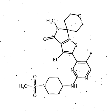 CCc1c(-c2nc(NC3CCN(S(C)(=O)=O)CC3)ncc2F)sc2c1C(=O)N(C)C21CCOCC1